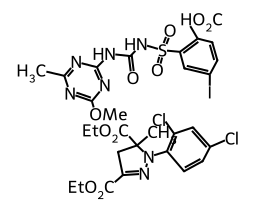 CCOC(=O)C1=NN(c2ccc(Cl)cc2Cl)C(C)(C(=O)OCC)C1.COc1nc(C)nc(NC(=O)NS(=O)(=O)c2cc(I)ccc2C(=O)O)n1